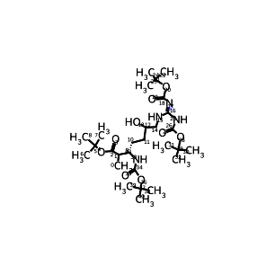 CC(C(=O)OC(C)(C)C)[C@H](CCC(O)CN/C(=N\C(=O)OC(C)(C)C)NC(=O)OC(C)(C)C)NC(=O)OC(C)(C)C